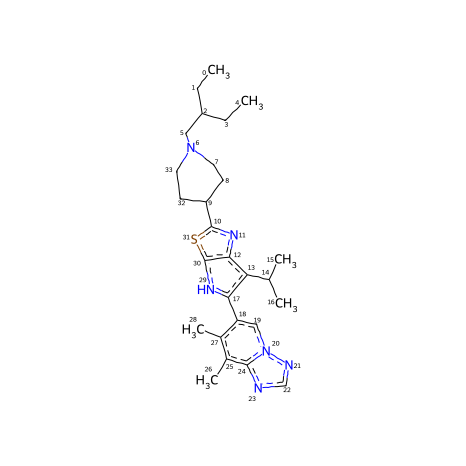 CCC(CC)CN1CCC(c2nc3c(C(C)C)c(-c4cn5ncnc5c(C)c4C)[nH]c3s2)CC1